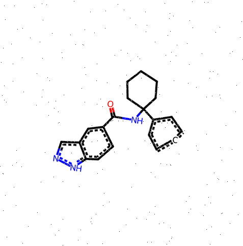 O=C(NC1(c2ccccc2)CCCCC1)c1ccc2[nH]ncc2c1